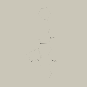 CCOC(=O)CCC(C(=O)COC1CCCCC1)C(=O)c1cncc(C)c1